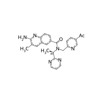 CC(=O)c1ccc(CN(C(=O)c2ccc3nc(N)c(C)cc3c2)[C@H](C)c2ncccn2)nc1